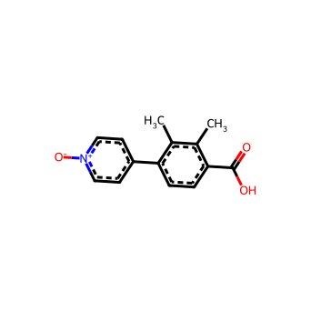 Cc1c(C(=O)O)ccc(-c2cc[n+]([O-])cc2)c1C